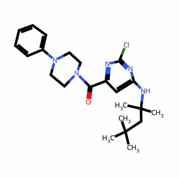 CC(C)(C)CC(C)(C)Nc1cc(C(=O)N2CCN(c3ccccc3)CC2)nc(Cl)n1